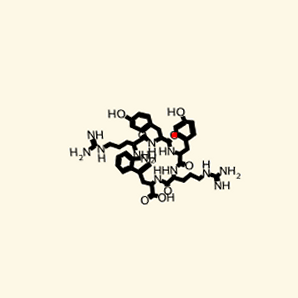 N=C(N)NCCCC(N)C(=O)NC(Cc1ccc(O)cc1)C(=O)NC(Cc1ccc(O)cc1)C(=O)NC(CCCNC(=N)N)C(=O)NC(Cc1c[nH]c2ccccc12)C(=O)O